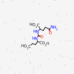 NC(=O)CCC(NC(=O)NC(CCC(=O)O)C(=O)O)C(=O)O